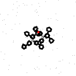 c1ccc(-c2ccc(N(c3ccc(C4(c5ccc(N(c6ccc(-c7ccccc7)cc6)c6cc(C7CCCCC7)cc(C7CCCCC7)c6)cc5)CCCCC4)cc3)c3cc(C4CCCCC4)cc(C4CCCCC4)c3)cc2)cc1